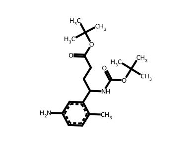 Cc1ccc(N)cc1C(CCC(=O)OC(C)(C)C)NC(=O)OC(C)(C)C